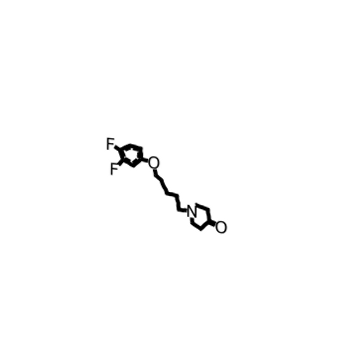 O=C1CCN(CCCCCOc2ccc(F)c(F)c2)CC1